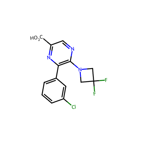 O=C(O)c1cnc(N2CC(F)(F)C2)c(-c2cccc(Cl)c2)n1